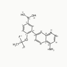 CC(F)(F)Oc1ccc(B(O)O)cc1-c1ccc2c(N)cnnc2c1